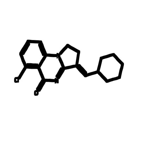 O=c1nc2n(c3cccc(Cl)c13)CC/C2=C\C1CCCCC1